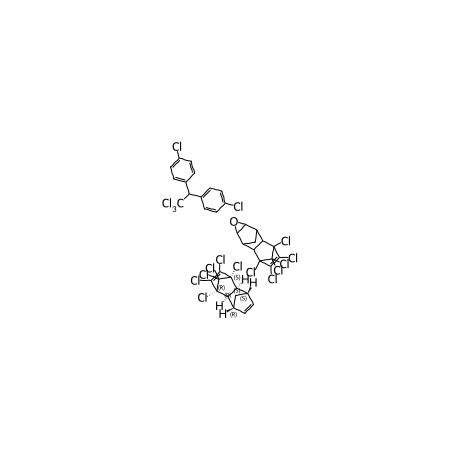 ClC1=C(Cl)C2(Cl)C3C4CC(C5OC45)C3C1(Cl)C2(Cl)Cl.ClC1=C(Cl)[C@]2(Cl)[C@H]3[C@H]([C@@H]4C=C[C@H]3C4)[C@@]1(Cl)C2(Cl)Cl.Clc1ccc(C(c2ccc(Cl)cc2)C(Cl)(Cl)Cl)cc1